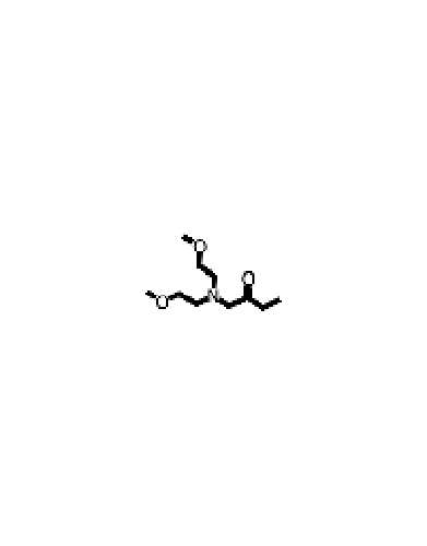 CCC(=O)CN(CCOC)CCOC